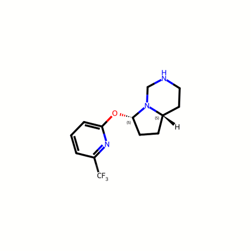 FC(F)(F)c1cccc(O[C@H]2CC[C@H]3CCNCN32)n1